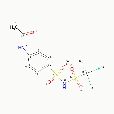 CC(=O)Nc1ccc(S(=O)(=O)NS(=O)(=O)C(F)(F)F)cc1